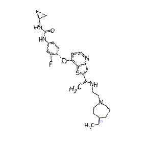 C=C(NCCN1CCC/C(=C/C)CC1)c1cc2nccc(Oc3ccc(NC(=O)NC4CC4)cc3F)c2s1